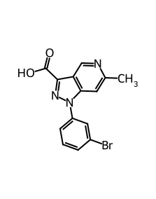 Cc1cc2c(cn1)c(C(=O)O)nn2-c1cccc(Br)c1